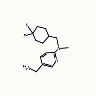 CN(CC1CCC(F)(F)CC1)c1ccc(CN)cn1